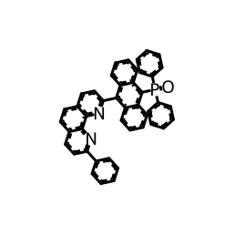 O=P(c1ccccc1)(c1ccccc1)c1c2ccccc2c(-c2ccc3ccc4ccc(-c5ccccc5)nc4c3n2)c2ccccc12